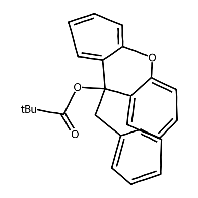 CC(C)(C)C(=O)OC1(Cc2ccccc2)c2ccccc2Oc2ccccc21